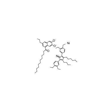 CCCCCCC1=C(c2ccc(CC)c(CC)c2)[N+](=[N-])C(c2ccc(CC)c(CC)c2)=C1CCCC.CCCCCCCCCCCC(=O)c1cc(CCC)cc2cc([O-])c([O-])cc12.[Ni]